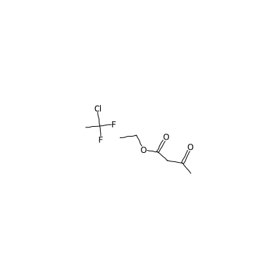 CC(F)(F)Cl.CCOC(=O)CC(C)=O